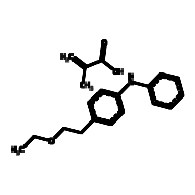 C=C(C)C(=O)O.CCOCCc1ccc(Nc2ccccc2)cc1